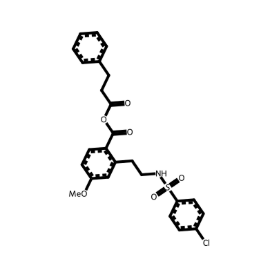 COc1ccc(C(=O)OC(=O)CCc2ccccc2)c(CCNS(=O)(=O)c2ccc(Cl)cc2)c1